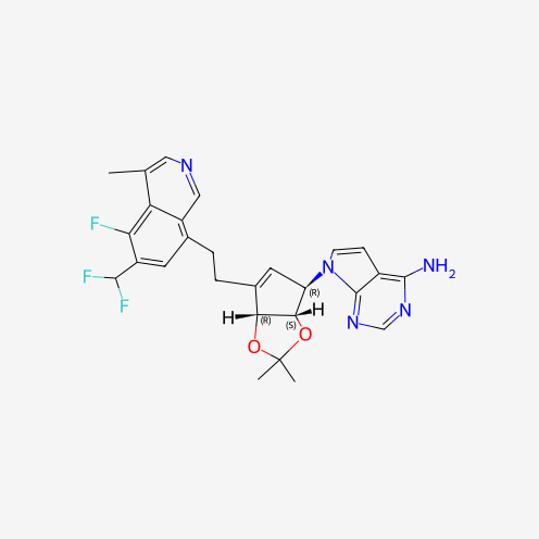 Cc1cncc2c(CCC3=C[C@@H](n4ccc5c(N)ncnc54)[C@@H]4OC(C)(C)O[C@H]34)cc(C(F)F)c(F)c12